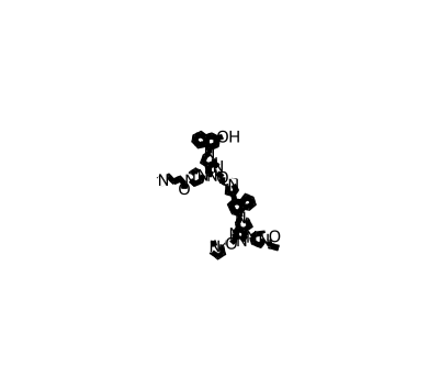 C=CC(=O)N1CCN(c2nc(OC[C@@H]3CCCN3C)nc3c2CCN(c2ccc(C4C[C@@H](COc5nc6c(c(N7CCN(C(=O)/C=C/CN(C)C)CC7)n5)CCN(c5cc(O)cc7ccccc57)C6)N(C)C4)c4ccccc24)C3)CC1